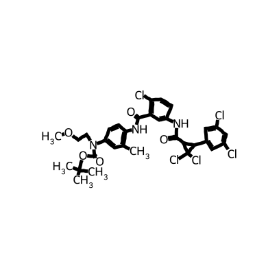 COCCN(C(=O)OC(C)(C)C)c1ccc(NC(=O)c2cc(NC(=O)C3C(c4cc(Cl)cc(Cl)c4)C3(Cl)Cl)ccc2Cl)c(C)c1